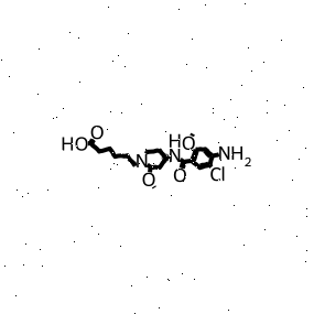 COc1cc(N)c(Cl)cc1C(=O)N[C@@H]1CCN(CCCCCC(=O)O)C(OC)C1